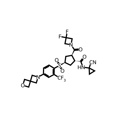 N#CC1(NC(=O)[C@@H]2C[C@@H](S(=O)(=O)c3ccc(N4CC5(COC5)C4)cc3C(F)(F)F)C[C@H]2C(=O)N2CC(F)(F)C2)CC1